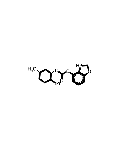 CC(C)C1CC[C@H](C)C[C@@H]1OC(=O)Oc1cccc2c1PCO2